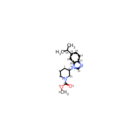 COC(=O)N1CCCC(n2cnc3ccc(C(C)C)cc32)C1